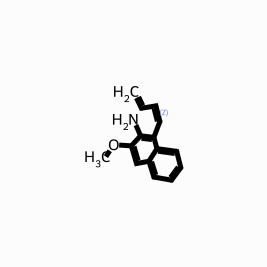 C=C/C=C\c1c(N)c(OC)cc2ccccc12